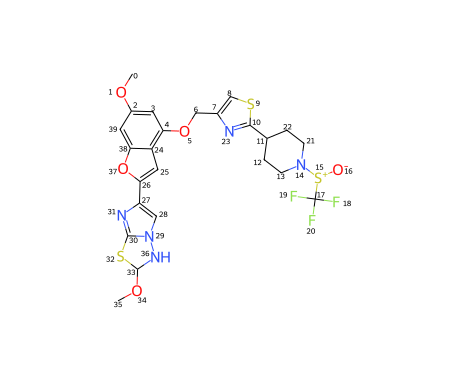 COc1cc(OCc2csc(C3CCN([S+]([O-])C(F)(F)F)CC3)n2)c2cc(-c3cn4c(n3)SC(OC)N4)oc2c1